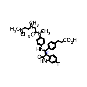 CN(C)CCN(C)CC(=O)N(C)c1ccc(N/C(=C2\C(=O)Nc3cc(F)ccc32)c2ccc(CCC(=O)O)cc2)cc1